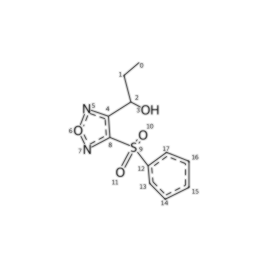 CCC(O)c1nonc1S(=O)(=O)c1ccccc1